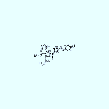 COc1cc2cc[nH]c2cc1-c1cc(C)ncc1C(=O)Nc1nnc(COc2ccc(Cl)cc2)s1